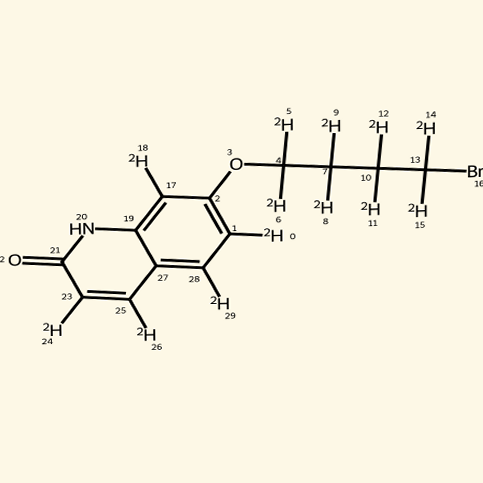 [2H]c1c(OC([2H])([2H])C([2H])([2H])C([2H])([2H])C([2H])([2H])Br)c([2H])c2[nH]c(=O)c([2H])c([2H])c2c1[2H]